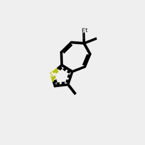 CCC1(C)C=Cc2scc(C)c2C=C1